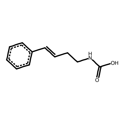 O=C(O)NCCC=Cc1ccccc1